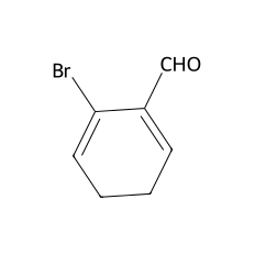 O=CC1=CCCC=C1Br